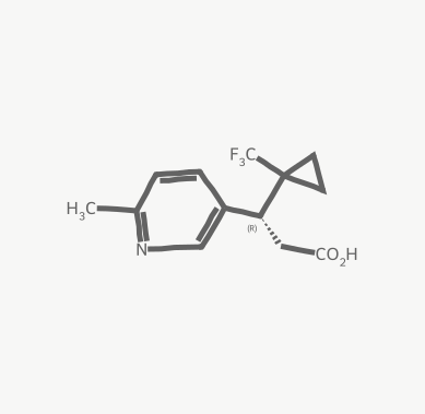 Cc1ccc([C@@H](CC(=O)O)C2(C(F)(F)F)CC2)cn1